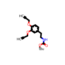 C#CCOc1ccc(CCNC(=O)OC(C)(C)C)cc1OCC#C